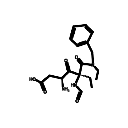 CCN(Cc1ccccc1)C(=O)[C@@](CC)(NC=O)C(=O)[C@@H](N)CC(=O)O